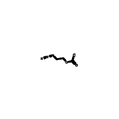 [N-]=[N+]=NCCOC(=O)Cl